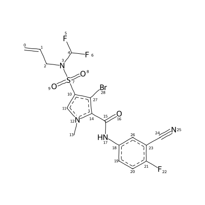 C=CCN(C(F)F)S(=O)(=O)c1cn(C)c(C(=O)Nc2ccc(F)c(C#N)c2)c1Br